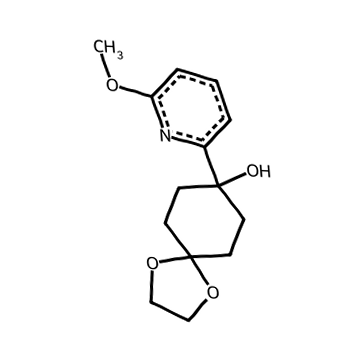 COc1cccc(C2(O)CCC3(CC2)OCCO3)n1